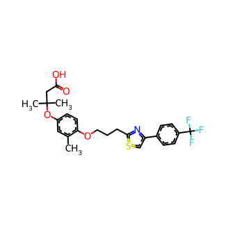 Cc1cc(OC(C)(C)CC(=O)O)ccc1OCCCc1nc(-c2ccc(C(F)(F)F)cc2)cs1